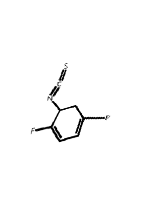 FC1=CC=C(F)C(N=C=S)C1